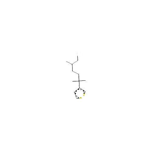 CC(CCC(C)(C)c1ccsc1)CC(C)(C)C